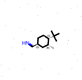 C[C@@H]1C[C@@H](C=N)CC[C@@H]1C(C)(C)C